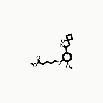 COC(=O)CCCCOc1cc(C2=NOC3(CCC3)C2)ccc1OC